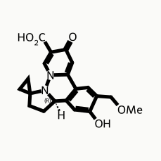 COCc1cc2c(cc1O)[C@H]1CCC3(CC3)N1n1cc(C(=O)O)c(=O)cc1-2